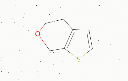 [CH]1OCCc2ccsc21